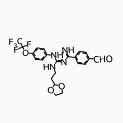 N=C(/N=C(/NCCC1OCCO1)Nc1ccc(OC(F)(F)C(F)(F)F)cc1)c1ccc(C=O)cc1